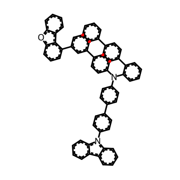 c1ccc(-c2ccc(-c3ccccc3N(c3ccc(-c4ccc(-n5c6ccccc6c6ccccc65)cc4)cc3)c3ccc(-c4cccc(-c5cccc6oc7ccccc7c56)c4)cc3)cc2)cc1